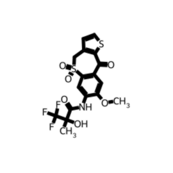 COc1cc2c(cc1NC(=O)C(C)(O)C(F)(F)F)S(=O)(=O)Cc1ccsc1C2=O